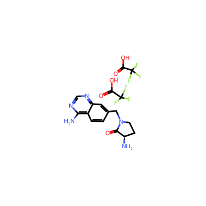 Nc1ncnc2cc(CN3CC[C@@H](N)C3=O)ccc12.O=C(O)C(F)(F)F.O=C(O)C(F)(F)F